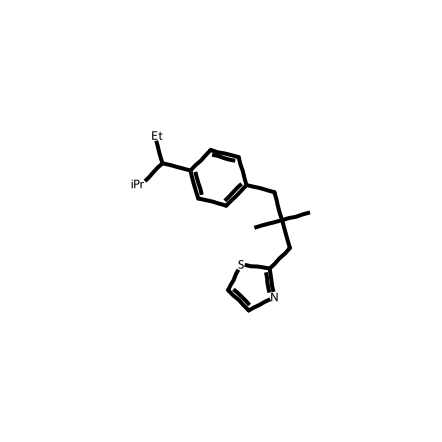 CCC(c1ccc(CC(C)(C)Cc2nccs2)cc1)C(C)C